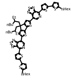 CCCCCCc1ccc(-c2ccc(-c3ncc(-c4cc5c(s4)-c4sc(-c6cnc(-c7ccc(-c8ccc(CCCCCC)s8)s7)c7nsnc67)cc4C5(CC(CC)CCCC)CC(CC)CCCC)c4nsnc34)s2)s1